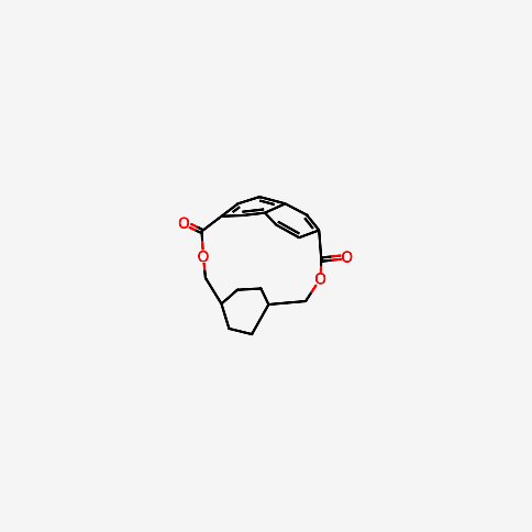 O=C1OCC2CCC(CC2)COC(=O)c2ccc3cc1ccc3c2